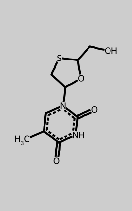 Cc1cn(C2CSC(CO)O2)c(=O)[nH]c1=O